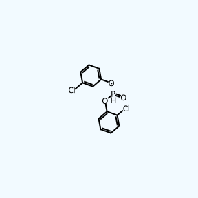 O=[PH](Oc1cccc(Cl)c1)Oc1ccccc1Cl